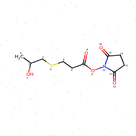 CC(O)CSCCC(=O)ON1C(=O)CCC1=O